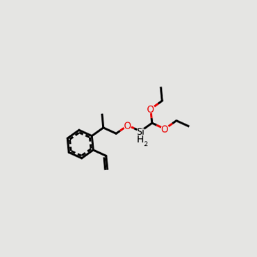 C=Cc1ccccc1C(C)CO[SiH2]C(OCC)OCC